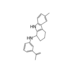 C=C(C)c1cccc(NC2CCCc3c2[nH]c2ccc(C)cc32)c1